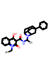 CCC(NC(=O)c1c(O)c2ccccc2n(CC(C)C)c1=O)N1C2CC3CC1CC(c1ccccc1)(C3)C2